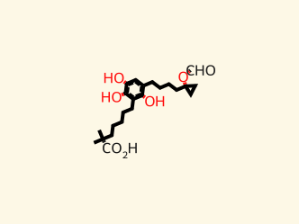 CC(C)(CCCCCc1c(O)c(O)cc(CCCCC2(OC=O)CC2)c1O)C(=O)O